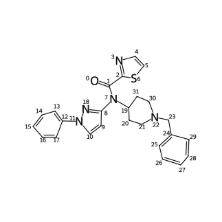 O=C(c1nccs1)N(c1ccn(-c2ccccc2)n1)C1CCN(Cc2ccccc2)CC1